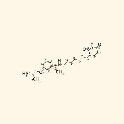 CC(C)COc1cccc([C@@H](C)NCCCCCCCN2CCC(=O)NC2=O)c1